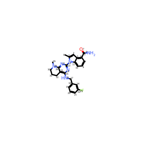 Cc1cc2c(C(N)=O)cccc2n1-c1nc(NCc2cccc(F)c2)c2c(n1)N(C)CCC2